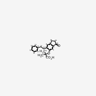 CC(C)(Oc1cc2c(cc1CCc1ccccc1)CCC2=O)C(=O)O